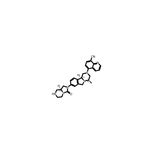 C[C@@H]1CN(c2ccc(C#N)c3ncccc23)C[C@@H]2c3ccc(N4C[C@@H]5CNCCN5C4=O)cc3CN12